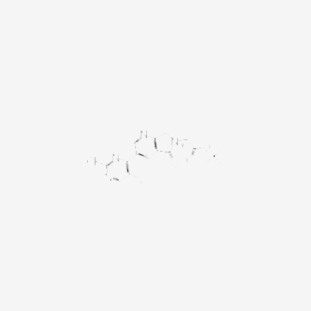 C[C@H](C(=O)OC(C)(C)C)N1Cc2ncc(-c3nc(Cl)ncc3Cl)cc2C1=O